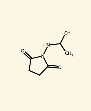 CC(C)NN1C(=O)CCC1=O